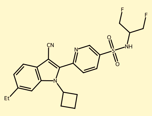 CCc1ccc2c(C#N)c(-c3ccc(S(=O)(=O)NC(CF)CF)cn3)n(C3CCC3)c2c1